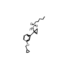 CCCCCS(=O)(=O)NC1(c2cccc(OCC3CC3)c2)CC1